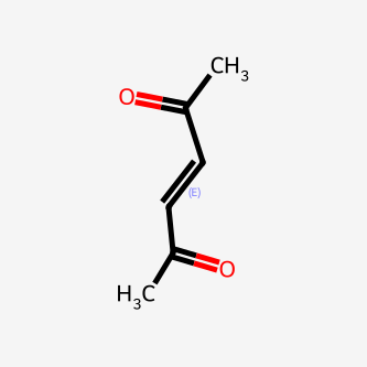 CC(=O)/C=C/C(C)=O